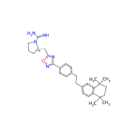 CC1(C)CCC(C)(C)c2cc(CCc3ccc(-c4noc(C[C@@H]5CCCN5C(=N)N)n4)cc3)ccc21